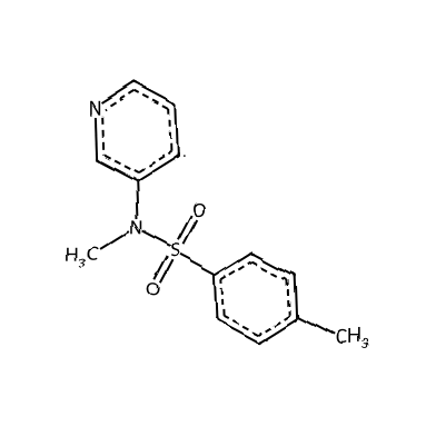 Cc1ccc(S(=O)(=O)N(C)c2[c]ccnc2)cc1